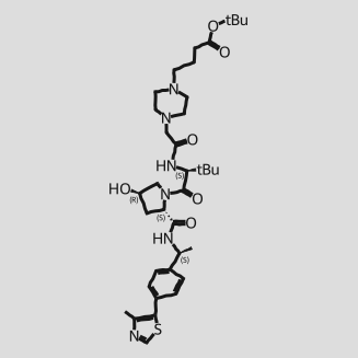 Cc1ncsc1-c1ccc([C@H](C)NC(=O)[C@@H]2C[C@@H](O)CN2C(=O)[C@@H](NC(=O)CN2CCN(CCCC(=O)OC(C)(C)C)CC2)C(C)(C)C)cc1